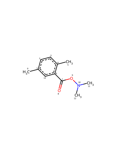 Cc1ccc(C)c(C(=O)ON(C)C)c1